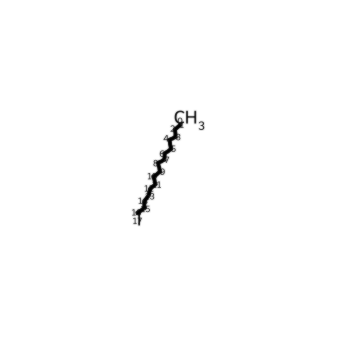 CCCCCCCCCCCCCCCCCI